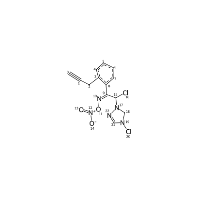 C#CCc1ccccc1C(=NO[N+](=O)[O-])C(Cl)N1CN(Cl)C=N1